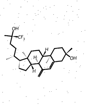 C=C1C=C2C[C@@](C)(O)CC[C@]2(C)[C@H]2CC[C@]3(C)[C@@H]([C@H](C)CC[C@](C)(O)C(F)(F)F)CC[C@H]3[C@H]12